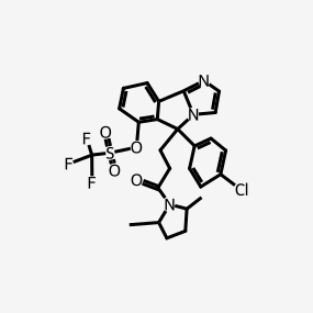 CC1CCC(C)N1C(=O)CCC1(c2ccc(Cl)cc2)c2c(OS(=O)(=O)C(F)(F)F)cccc2-c2nccn21